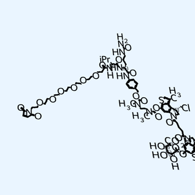 Cc1csc2c(OC(=O)N(C)CCN(C)C(=O)OCc3ccc(NC(=O)[C@H](CCCNC(N)=O)NC(=O)[C@@H](NC(=O)CCOCCOCCOCCOCCOCCOCCN4C(=O)C=CC4=O)C(C)C)cc3)cc3c(c12)[C@H](CCl)CN3C(=O)CCCC(=O)N1C[C@@H](CCl)c2c1cc(O[C@@H]1O[C@H](C(=O)O)[C@@H](O)[C@H](O)[C@H]1O)c1scc(C)c21